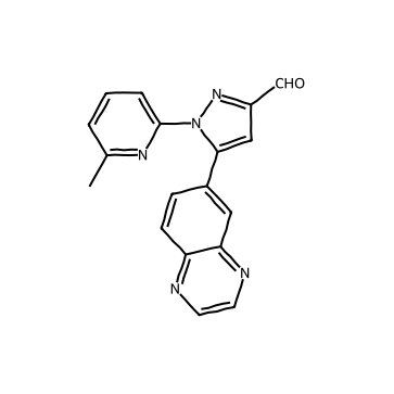 Cc1cccc(-n2nc(C=O)cc2-c2ccc3nccnc3c2)n1